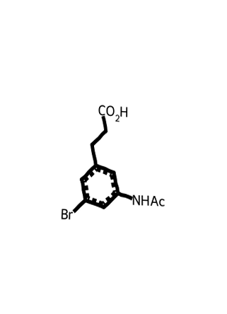 CC(=O)Nc1cc(Br)cc(CCC(=O)O)c1